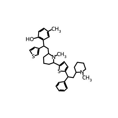 Cc1ccc(O)c(C(CC2CCCC(c3ccc(C(CC4CCCCN4C)c4ccccc4)s3)N2C)c2ccsc2)c1